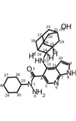 NN(C(=O)c1cnc2[nH]ccc2c1N[C@H]1[C@@H]2CC3C[C@H]1C[C@@](O)(C3)C2)C1CCCCC1